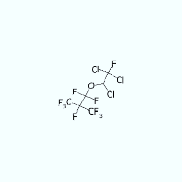 FC(Cl)(Cl)C(Cl)OC(F)(F)C(F)(C(F)(F)F)C(F)(F)F